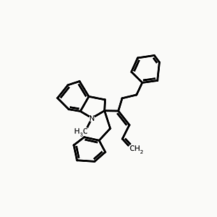 C=C/C=C(/CCc1ccccc1)C1(Cc2ccccc2)Cc2ccccc2N1C